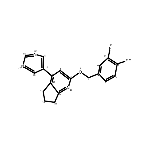 Fc1ccc(COc2cc(-c3cncnc3)c3c(n2)CCC3)cc1F